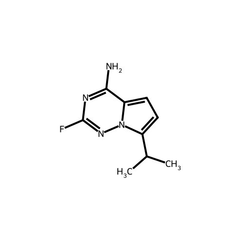 CC(C)c1ccc2c(N)nc(F)nn12